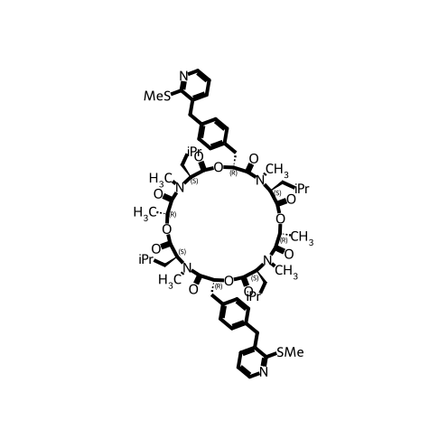 CSc1ncccc1Cc1ccc(C[C@H]2OC(=O)[C@H](CC(C)C)N(C)C(=O)[C@@H](C)OC(=O)[C@H](CC(C)C)N(C)C(=O)[C@@H](Cc3ccc(Cc4cccnc4SC)cc3)OC(=O)[C@H](CC(C)C)N(C)C(=O)[C@@H](C)OC(=O)[C@H](CC(C)C)N(C)C2=O)cc1